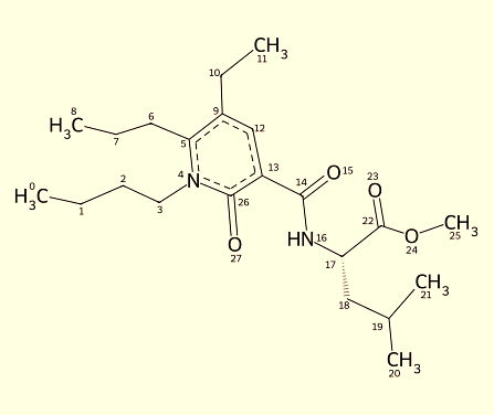 CCCCn1c(CCC)c(CC)cc(C(=O)N[C@@H](CC(C)C)C(=O)OC)c1=O